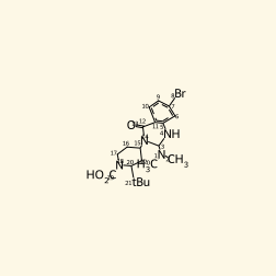 CN(C)C1Nc2cc(Br)ccc2C(=O)N1C1CCN(C(=O)O)C(C(C)(C)C)C1